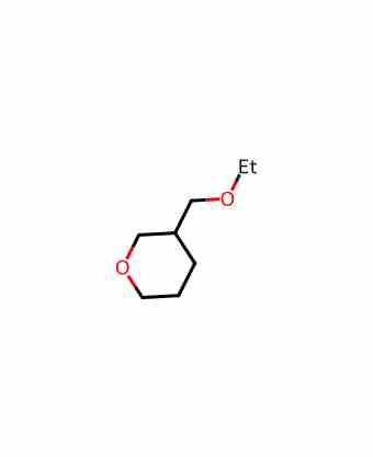 CCOCC1CCCOC1